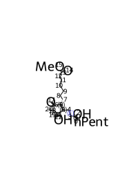 CCCCC[C@H](O)/C=C/[C@@H]1[C@@H](CCCCCCC(=O)OC)C(=O)C(C)(C)[C@H]1O